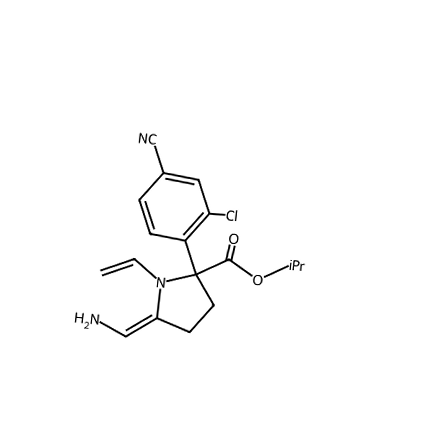 C=CN1/C(=C\N)CCC1(C(=O)OC(C)C)c1ccc(C#N)cc1Cl